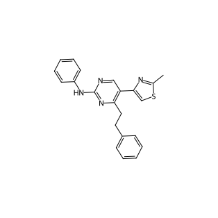 Cc1nc(-c2cnc(Nc3ccccc3)nc2CCc2ccccc2)cs1